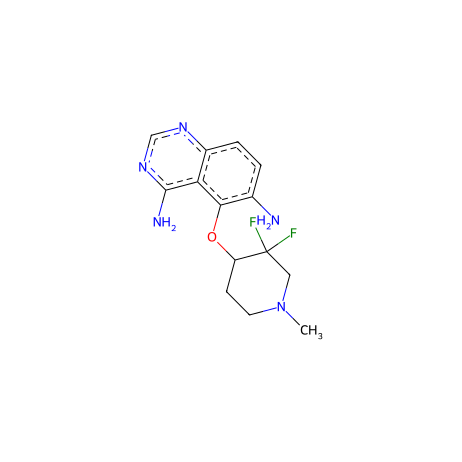 CN1CCC(Oc2c(N)ccc3ncnc(N)c23)C(F)(F)C1